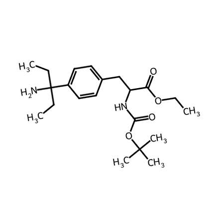 CCOC(=O)C(Cc1ccc(C(N)(CC)CC)cc1)NC(=O)OC(C)(C)C